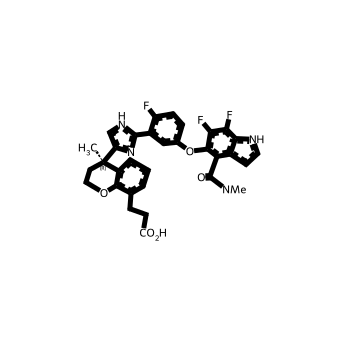 CNC(=O)c1c(Oc2ccc(F)c(-c3nc([C@]4(C)CCOc5c(CCC(=O)O)cccc54)c[nH]3)c2)c(F)c(F)c2[nH]ccc12